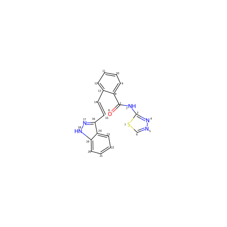 O=C(Nc1nncs1)c1ccccc1C=Cc1n[nH]c2ccccc12